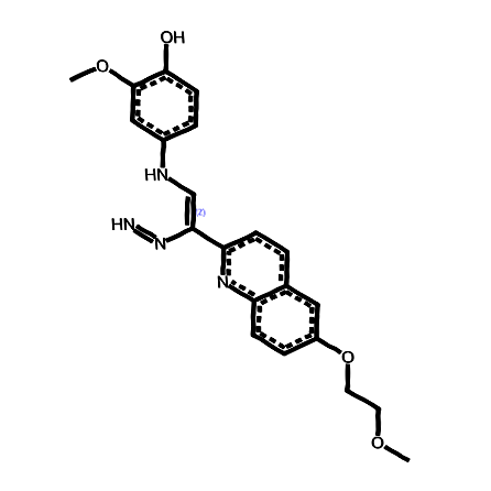 COCCOc1ccc2nc(/C(=C/Nc3ccc(O)c(OC)c3)N=N)ccc2c1